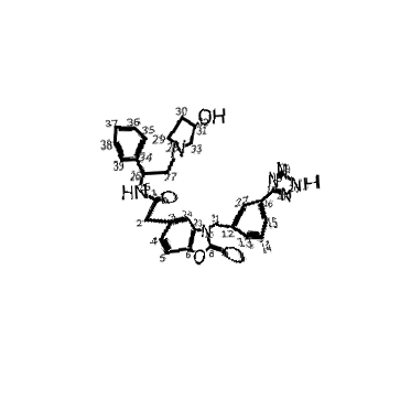 O=C(Cc1ccc2oc(=O)n(Cc3cccc(-c4nn[nH]n4)c3)c2c1)NC(CN1CC[C@H](O)C1)c1ccccc1